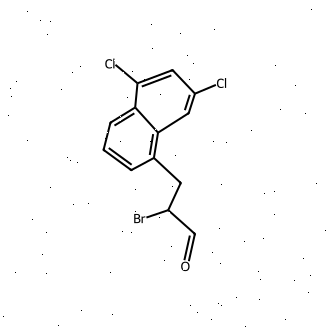 O=CC(Br)Cc1cccc2c(Cl)cc(Cl)cc12